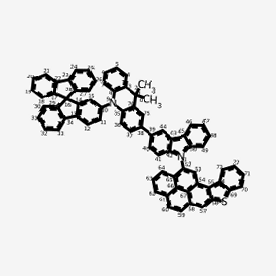 CC1(C)c2ccccc2N(c2ccc3c(c2)C2(c4ccccc4-c4ccccc42)c2ccccc2-3)c2ccc(-c3ccc4c(c3)c3ccccc3n4-c3cc4c5c(cc6ccc7cccc3c7c64)sc3ccccc35)cc21